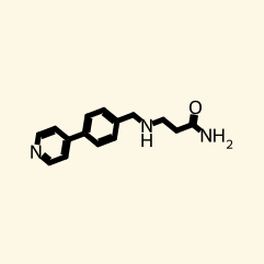 NC(=O)CCNCc1ccc(-c2ccncc2)cc1